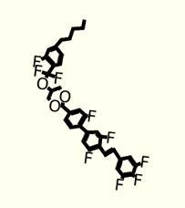 CCCCCc1ccc(C(F)(F)OC2COC(c3ccc(-c4cc(F)c(/C=C/c5cc(F)c(F)c(F)c5)c(F)c4)c(F)c3)OC2)c(F)c1